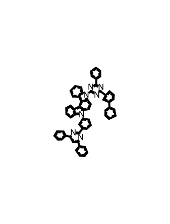 c1ccc(-c2cccc(-c3nc(-c4ccccc4)nc(-n4c5ccccc5c5c6c7ccccc7n(-c7cccc(-c8nc(-c9ccccc9)cc(-c9ccccc9)n8)c7)c6ccc54)n3)c2)cc1